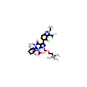 CCn1nc2ccc(-c3cn(COCC[Si](C)(C)C)c4nc(N5[C@H]6CC[C@@H]5[C@H](NC(=O)O)C6)n(C)c(=O)c34)c(Cl)c2c1C(F)F